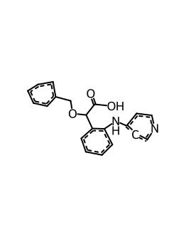 O=C(O)C(OCc1ccccc1)c1ccccc1Nc1ccncc1